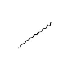 [CH2]CCCCCCCC=CCCCCC=C